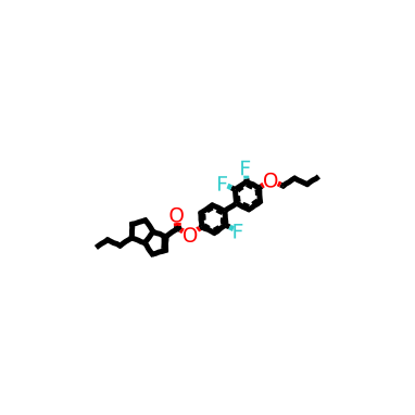 CCCCOc1ccc(-c2ccc(OC(=O)C3=CCC4C(CCC)CCC34)cc2F)c(F)c1F